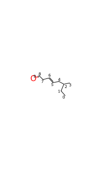 CCC(C)C/C=C/CC=O